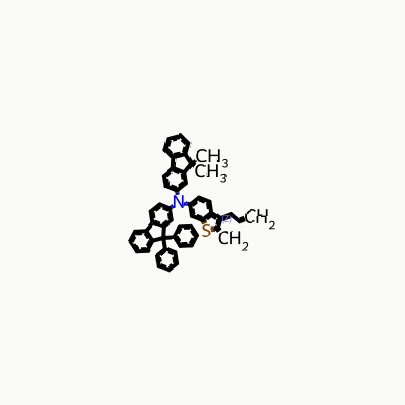 C=C/C=c1\c(=C)sc2cc(N(c3ccc4c(c3)C(C)(C)c3ccccc3-4)c3ccc4c(c3)C(c3ccccc3)(c3ccccc3)c3ccccc3-4)ccc12